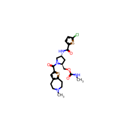 CNC(=O)OC[C@@H]1C[C@@H](NC(=O)c2ccc(Cl)s2)CN1C(=O)c1cc2c(s1)CCN(C)CC2